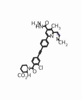 C=N/C=C\c1nc(-c2ccc(C#Cc3ccc(C(=O)N4CCCCC4C(=O)O)c(Cl)c3)cc2)cc(C(=O)NN)c1C